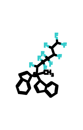 C[Si](C1C=Cc2ccccc21)(C1C=Cc2ccccc21)C(F)C(F)(F)C(F)(F)C(F)C(F)C(F)F